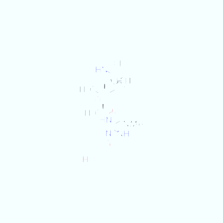 C=C/C=C\C(=C/C(=C)C(=N)CC(F)(F)F)C(=C)O/C=C(\C)C(=O)N/C(=C/NC)C(=N)N1CCC2(CCC(O)CC2)C1=O